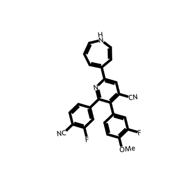 COc1ccc(-c2c(C#N)cc(C3=CC=CNC=C3)nc2-c2ccc(C#N)c(F)c2)cc1F